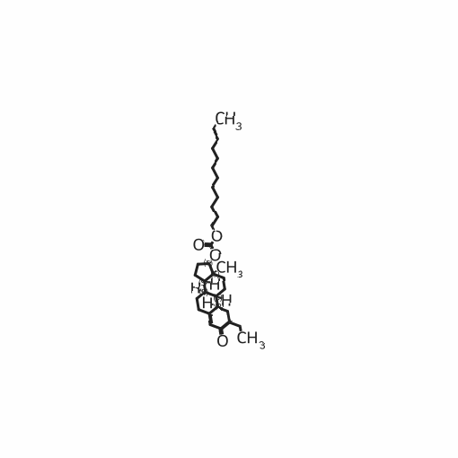 CCCCCCCCCCCCOC(=O)O[C@H]1CC[C@H]2[C@@H]3CCC4=CC(=O)C(CC)C[C@@H]4[C@H]3CC[C@]12C